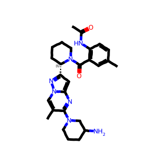 CC(=O)Nc1ccc(C)cc1C(=O)N1CCCC[C@H]1c1cc2nc(N3CCCC(N)C3)c(C)cn2n1